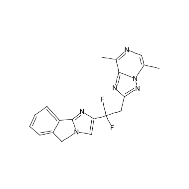 Cc1ncc(C)n2nc(CC(F)(F)c3cn4c(n3)-c3ccccc3C4)nc12